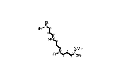 CCN(CCCN(CCCNCCCN(CC)C(C)C)C(C)C)NC